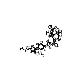 Cc1cc(C)n(-c2ccc(C3CN(C(=O)N4CC[C@@H]5OCC(=O)N[C@@H]5C4)C3)cc2)n1